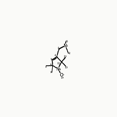 CN(C)CC1=CC(C)(C)N([O])C1(C)C